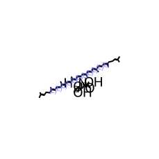 CC(C)=CCC/C(C)=C/C=C/C(C)=C/C=C/C(C)=C/C=C/C=C(C)/C=C/C=C(C)/C=C/C=C(\C)CCC=C(C)C.N[C@@H](CC(=O)O)C(=O)O